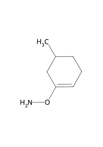 CC1CCC=C(ON)C1